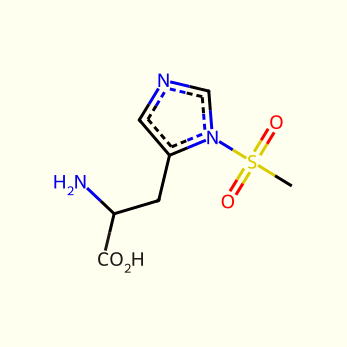 CS(=O)(=O)n1cncc1CC(N)C(=O)O